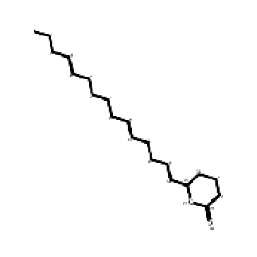 CCCCCCCCCCCCCCCC1CCCC(=O)O1